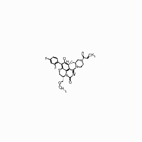 C=CC(=O)N1CCN(c2nc(=O)n3c4c(c(-c5ccc(F)cc5F)c(Cl)cc24)SC[C@H]3COC)[C@@H](C)C1